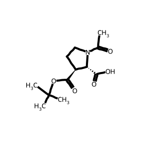 CC(=O)N1CC[C@H](C(=O)OC(C)(C)C)[C@H]1C(=O)O